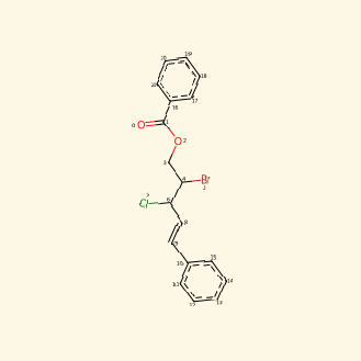 O=C(OCC(Br)C(Cl)/C=C/c1ccccc1)c1ccccc1